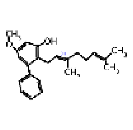 COc1cc(O)c(C/C=C(\C)CCC=C(C)C)c(-c2ccccc2)c1